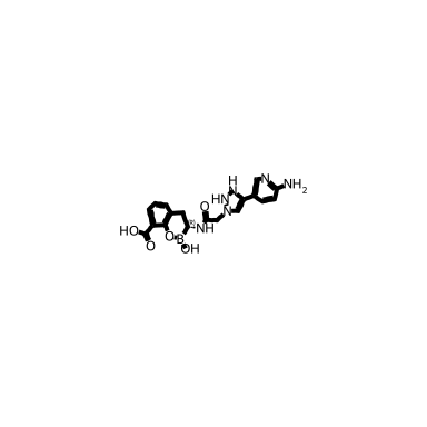 Nc1ccc(C2=CN(CC(=O)N[C@H]3Cc4cccc(C(=O)O)c4OB3O)NN2)cn1